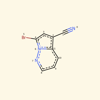 N#Cc1cc(Br)n2ncccc12